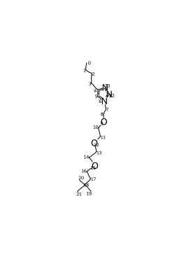 CCCCc1cn(CCOCCOCCOCCC(C)(C)C)nn1